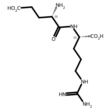 N=C(N)NCCC[C@H](NC(=O)[C@@H](N)CCC(=O)O)C(=O)O